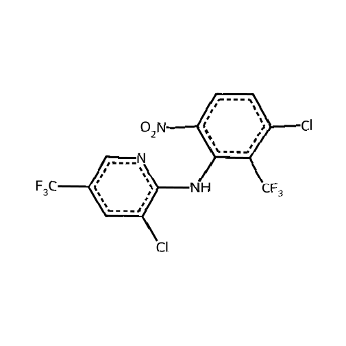 O=[N+]([O-])c1ccc(Cl)c(C(F)(F)F)c1Nc1ncc(C(F)(F)F)cc1Cl